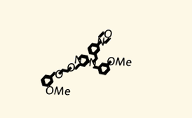 COc1cccc(COCCOCc2cc(N(Cc3cccc(OC)c3)Cc3cccc(N4CCOCC4)c3)ccn2)c1